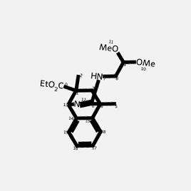 CCOC(=O)C1(C)CC2(C)C(NCC(OC)OC)=NC1c1ccccc12